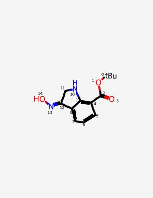 CC(C)(C)OC(=O)c1cccc2c1NCC2=NO